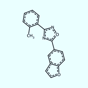 Cc1ccccc1-c1noc(-c2ccc3occc3c2)n1